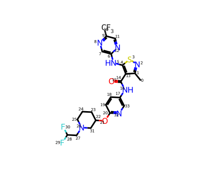 Cc1nsc(Nc2cnc(C(F)(F)F)cn2)c1C(=O)Nc1ccc(OC2CCCN(CC(F)F)C2)nc1